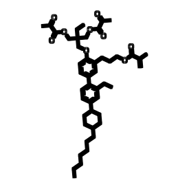 C=C(C)C(=O)OCCCc1cc(-c2ccc(C3CCC(CCCCCCC)CC3)cc2CC)ccc1OCC(CC)(COC(=O)C(C)=O)COC(=O)C(C)=O